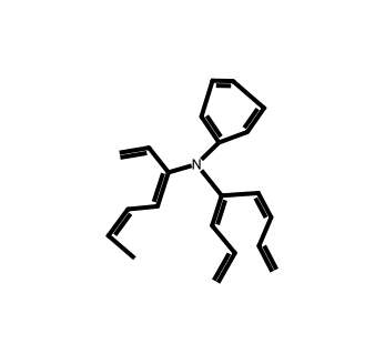 C=C/C=C\C(=C/C=C)N(/C(C=C)=C/C=C\C)c1ccccc1